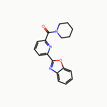 O=C(c1cccc(-c2nc3ccccc3o2)n1)N1CCCCC1